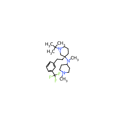 CN1CCC(N(C)[C@@]2(CCc3cccc(C(F)(F)F)c3)CCCN(C(C)(C)C)C2)CC1